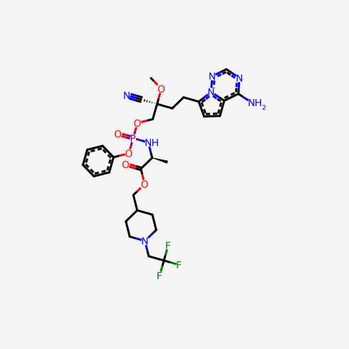 CO[C@@](C#N)(CCc1ccc2c(N)ncnn12)COP(=O)(N[C@@H](C)C(=O)OCC1CCN(CC(F)(F)F)CC1)Oc1ccccc1